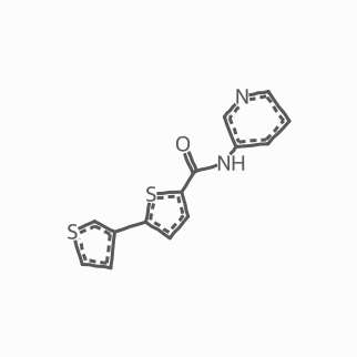 O=C(Nc1cccnc1)c1ccc(-c2ccsc2)s1